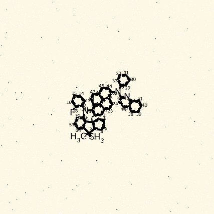 CC1(C)c2ccccc2-c2c(N(c3ccccc3F)c3ccc4ccc5c(N(c6ccccc6)c6ccc7ccccc7n6)ccc6ccc3c4c65)cccc21